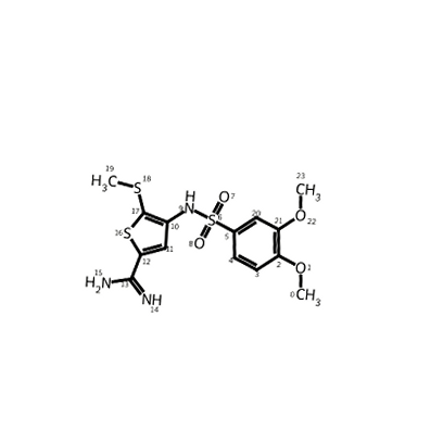 COc1ccc(S(=O)(=O)Nc2cc(C(=N)N)sc2SC)cc1OC